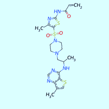 C=CC(=O)Nc1nc(C)c(S(=O)(=O)N2CCN(CC(C)Nc3ncnc4c(C)csc34)CC2)s1